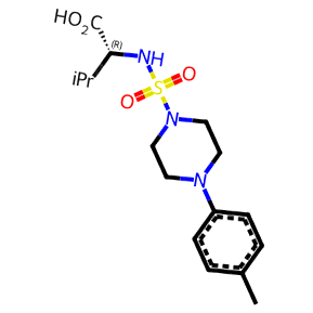 Cc1ccc(N2CCN(S(=O)(=O)N[C@@H](C(=O)O)C(C)C)CC2)cc1